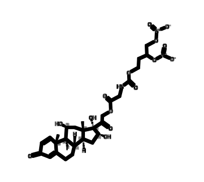 C[C@]12C=CC(=O)C=C1CC[C@H]1[C@@H]3C[C@@H](O)[C@](O)(C(=O)COC(=O)CNC(=O)OCCC(CO[N+](=O)[O-])O[N+](=O)[O-])[C@@]3(C)C[C@H](O)[C@@]12F